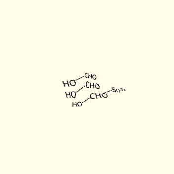 O=[C-]O.O=[C-]O.O=[C-]O.[CH3][Sn+3]